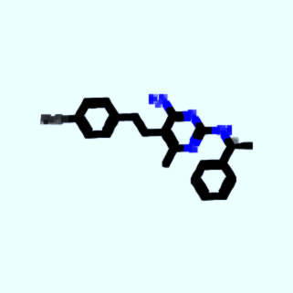 COc1ccc(CCc2c(C)nc(N[C@@H](C)c3ccccc3)nc2N)cc1